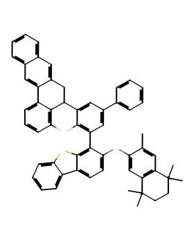 Cc1cc2c(cc1Nc1ccc3c(sc4ccccc43)c1-c1cc(-c3ccccc3)cc3c1Bc1cccc4c1C3Cc1cc3ccccc3cc1-4)C(C)(C)CCC2(C)C